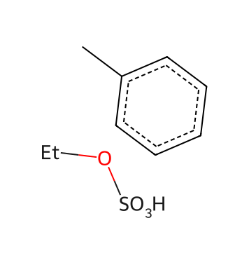 CCOS(=O)(=O)O.Cc1ccccc1